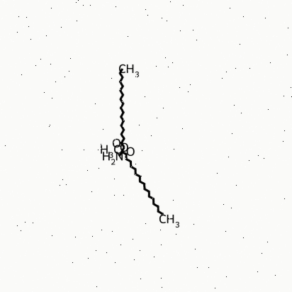 CCCCCCCCCCCCCCCCCC(=O)OC(C)(N)C(=O)CCCCCCCCCCCCCCCCC